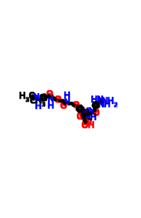 CC(C)=NNc1ccc(C(=O)NCCOCCC(=O)NCCCOc2ccc(NC(=O)[C@H](CC(=O)O)NC(=O)CNC(=O)c3cccc(NC(=N)N)c3)cc2)cc1